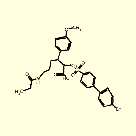 CCC(=O)NCCCC(c1ccc(OC)cc1)C(NS(=O)(=O)c1ccc(-c2ccc(Br)cc2)cc1)C(=O)O